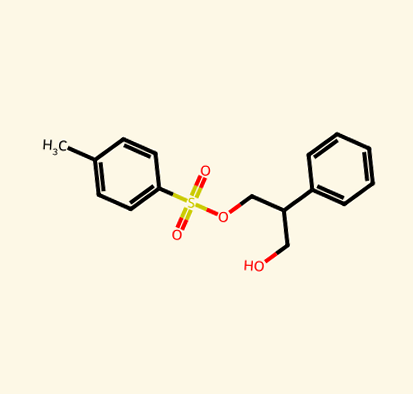 Cc1ccc(S(=O)(=O)OCC(CO)c2ccccc2)cc1